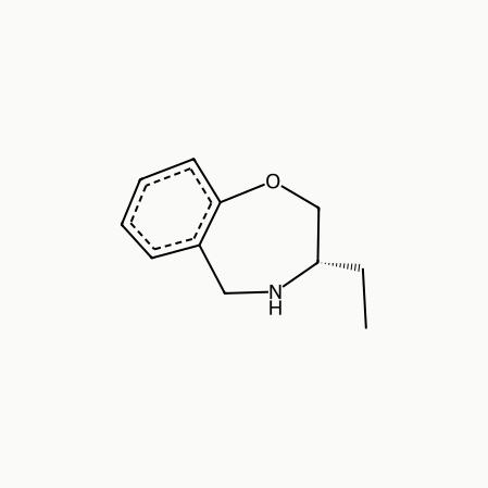 CC[C@H]1COc2ccccc2CN1